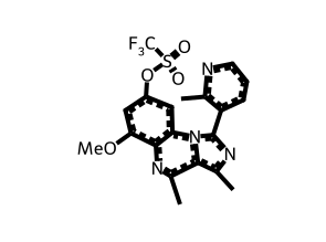 COc1cc(OS(=O)(=O)C(F)(F)F)cc2c1nc(C)c1c(C)nc(-c3cccnc3C)n12